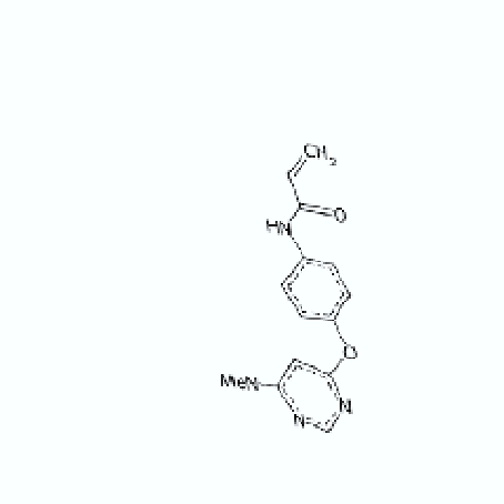 C=CC(=O)Nc1ccc(Oc2cc(NC)ncn2)cc1